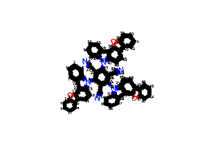 N#Cc1c(-n2c3ccccc3c3c4oc5ccccc5c4ccc32)c(C#N)c(-n2c3ccccc3c3c4oc5ccccc5c4ccc32)c(C#N)c1-n1c2ccccc2c2c3oc4ccccc4c3ccc21